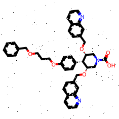 O=C(O)N1C[C@H](OCc2ccc3cccnc3c2)[C@H](c2ccc(OCCCOCc3ccccc3)cc2)[C@H](OCc2ccc3cccnc3c2)C1